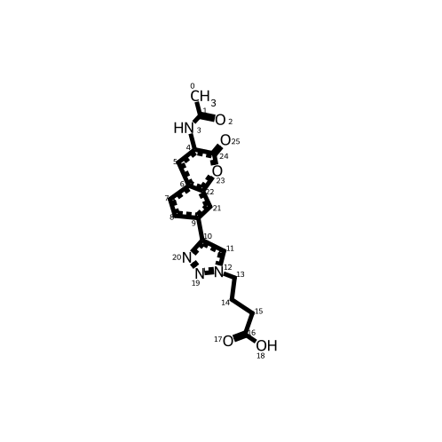 CC(=O)Nc1cc2ccc(-c3cn(CCCC(=O)O)nn3)cc2oc1=O